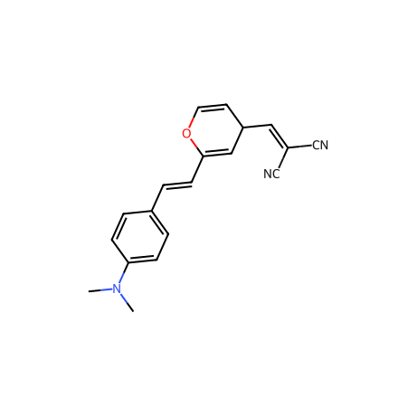 CN(C)c1ccc(C=CC2=CC(C=C(C#N)C#N)C=CO2)cc1